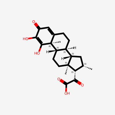 C[C@H]1C[C@H]2[C@@H]3CCC4=CC(=O)C(O)=C(O)[C@]4(C)[C@H]3CC[C@]2(C)[C@H]1C(=O)C(=O)O